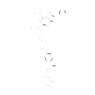 CN(CCN1CCN(c2ccc(C(=O)NCC3COCCN3)cc2F)CC1)c1nc(N)n2nc(-c3ccco3)nc2n1